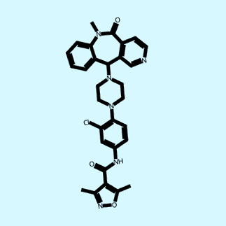 Cc1noc(C)c1C(=O)Nc1ccc(N2CCN(C3c4cnccc4C(=O)N(C)c4ccccc43)CC2)c(Cl)c1